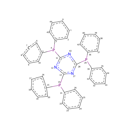 c1ccc(P(c2ccccc2)c2nc(P(c3ccccc3)c3ccccc3)nc(P(c3ccccc3)c3ccccc3)n2)cc1